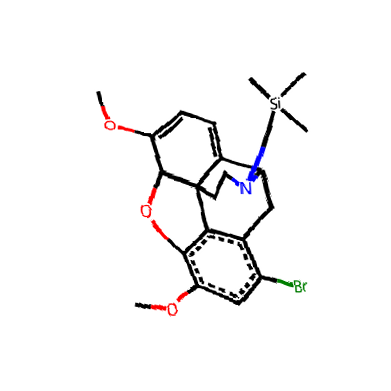 COC1=CC=C2C3Cc4c(Br)cc(OC)c5c4C2(CCN3[Si](C)(C)C)C1O5